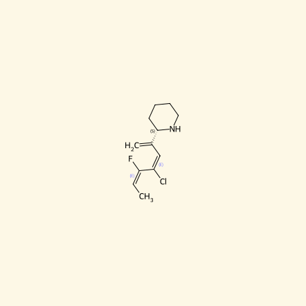 C=C(/C=C(Cl)\C(F)=C/C)[C@@H]1CCCCN1